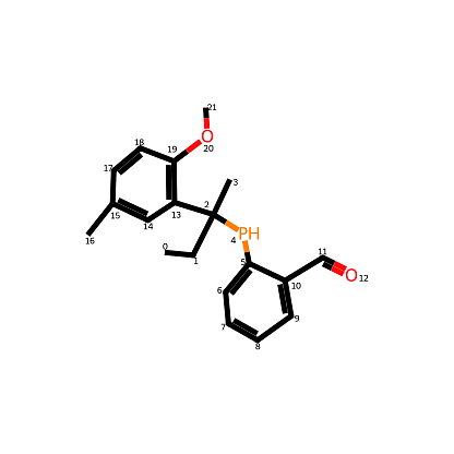 CCC(C)(Pc1ccccc1C=O)c1cc(C)ccc1OC